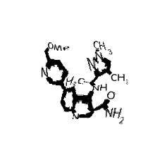 COCc1ccc(-c2ccc3ncc(C(N)=O)c(N[C@H](C)c4nn(C)cc4C)c3c2)cn1